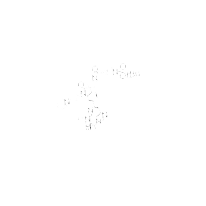 CC(C)n1cnc2cc(-c3ccc4c(c3)N([C@H]3C[C@@H](N5CCCCC5)C3)C(=O)C43CCN(C(=O)C4C5CN(C(=O)OC(C)(C)C)CC54)CC3)nc(NC3CC3)c21